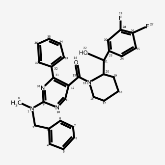 CN(Cc1ccccc1)c1ncc(C(=O)N2CCCCC2C(O)c2ccc(F)c(F)c2)c(-c2ccccc2)n1